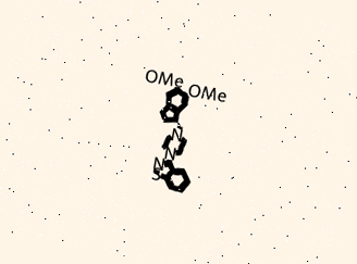 COc1cc2c(cc1OC)[C@H](CN1CCN(c3nsc4ccccc34)CC1)CC2